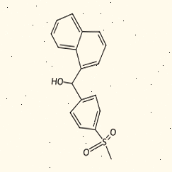 CS(=O)(=O)c1ccc(C(O)c2cccc3ccccc23)cc1